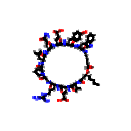 CCCCC[C@@H]1CC(=O)N[C@@H](C(C)C)C(=O)N[C@H](CCC(=O)O)C(=O)N[C@@H](CCCNC(=N)N)C(=O)NCC(=O)N2CCC[C@H]2C(=O)N[C@@H](CC(C)C)C(=O)N[C@H](CCC(N)=O)C(=O)N[C@@H](CCC(=O)O)C(=O)N[C@H](Cc2ccc(O)cc2)C(=O)N[C@H](Cc2c[nH]c3ccccc23)C(=O)NCCCC(=O)O1